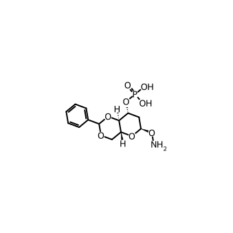 NO[C@@H]1C[C@@H](OP(=O)(O)O)[C@@H]2OC(c3ccccc3)OC[C@H]2O1